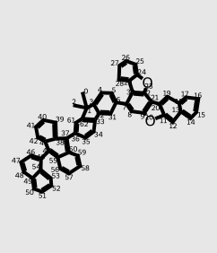 CC1(C)c2ccc(-c3cc4oc5cc6ccccc6cc5c4c4oc5ccccc5c34)cc2-c2ccc(-c3c4ccccc4c(-c4cccc5ccccc45)c4ccccc34)cc21